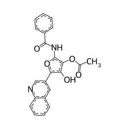 CC(=O)Oc1c(NC(=O)c2ccccc2)oc(-c2cnc3ccccc3c2)c1O